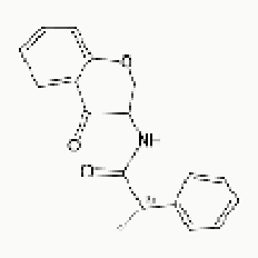 C[C@H](C(=O)NC1COc2ccccc2C1=O)c1ccccc1